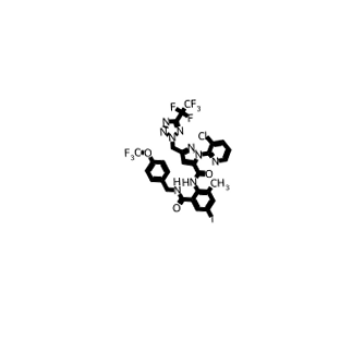 Cc1cc(I)cc(C(=O)NCc2ccc(OC(F)(F)F)cc2)c1NC(=O)c1cc(Cn2nnc(C(F)(F)C(F)(F)F)n2)nn1-c1ncccc1Cl